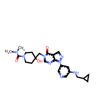 CN(C)C(=O)N1CCC(O)(Cn2cnc3c(cnn3-c3cncc(NCC4CC4)c3)c2=O)CC1